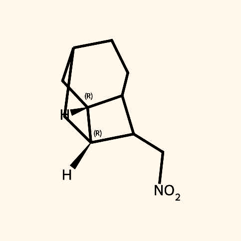 O=[N+]([O-])CC1C2CCC3C[C@H]2[C@H]1C3